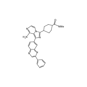 CNC(=O)C1CCC(c2nc(-c3ccc4ncc(-c5ccccc5)nc4c3)c3c(N)nccn23)CC1